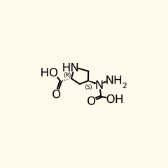 NN(C(=O)O)[C@@H]1CN[C@@H](C(=O)O)C1